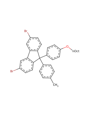 CCCCCCCCOc1ccc(C2(c3ccc(C)cc3)c3ccc(Br)cc3-c3cc(Br)ccc32)cc1